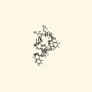 CC(C)=CC(C)=NN=c1[nH]ncc2ccccc12.NNc1nnc(NN)c2ccccc12.NNc1nncc2ccccc12